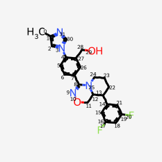 Cc1cn(-c2ccc(C3=NOCC4C(c5cc(F)cc(F)c5)CCCN34)cc2CO)cn1